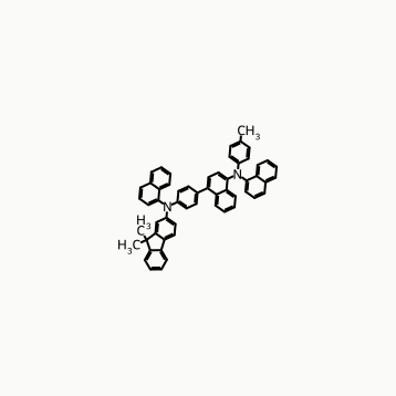 Cc1ccc(N(c2cccc3ccccc23)c2ccc(-c3ccc(N(c4ccc5c(c4)C(C)(C)c4ccccc4-5)c4cccc5ccccc45)cc3)c3ccccc23)cc1